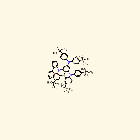 CC(C)(C)c1ccc(N(c2ccc(C(C)(C)C)cc2)c2cc3c4c(c2)N(c2ccccc2-c2ccccc2)c2ccc(C(C)(C)C)cc2B4c2cc(C(C)(C)C)ccc2N3c2ccc(C(C)(C)C)cc2)cc1